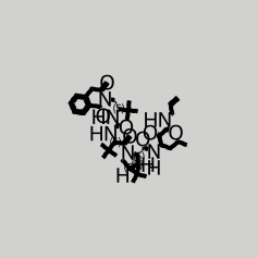 C=CCNC(=O)C(=O)C(CCC)NC(=O)[C@@H]1[C@@H]2[C@H](CN1C(=O)[C@@H](NC(=O)N[C@H](CN1C(=O)Cc3ccccc3C1=O)C(C)(C)C)C(C)(C)C)C2(C)C